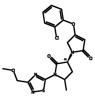 COCc1nsc(N2C(=O)[C@@H](N3CC(Oc4ccccc4Cl)=CC3=O)CC2C)n1